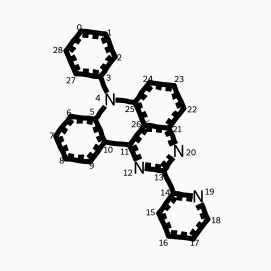 c1ccc(N2c3ccccc3-c3nc(-c4ccccn4)nc4cccc2c34)cc1